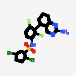 Nc1ncc2c(-c3c(F)ccc(NS(=O)(=O)c4cc(Cl)ccc4Cl)c3F)cccc2n1